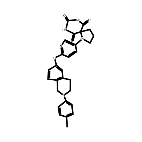 Cc1ccc(N2CCc3cc(Oc4ccc(N5CCCC56C(=O)NC(=O)NC6=O)cn4)ccc3C2)cc1